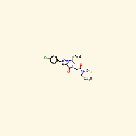 CCCCCC1CN(CC(=O)N(C)CC(=O)O)C(=O)c2cc(-c3ccc(Cl)cc3)nn21